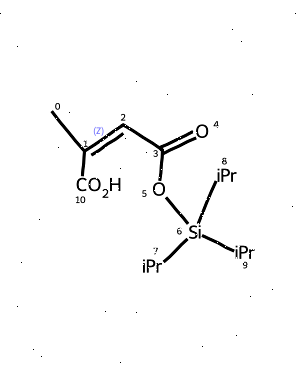 C/C(=C/C(=O)O[Si](C(C)C)(C(C)C)C(C)C)C(=O)O